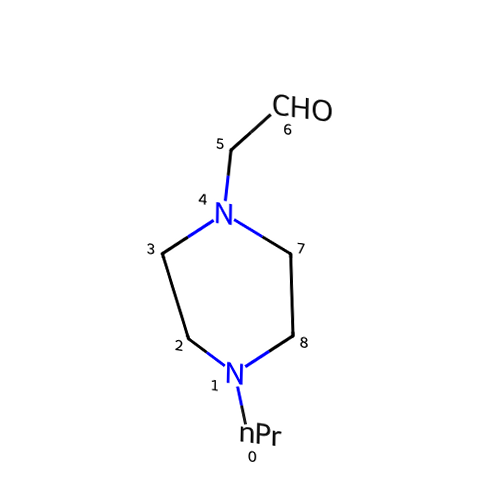 CCCN1CCN(CC=O)CC1